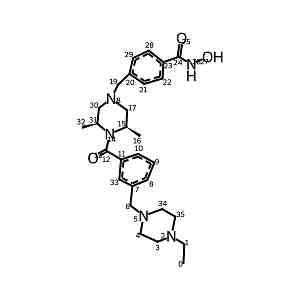 CCN1CCN(Cc2cccc(C(=O)N3[C@H](C)CN(Cc4ccc(C(=O)NO)cc4)C[C@@H]3C)c2)CC1